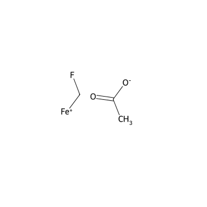 CC(=O)[O-].F[CH2][Fe+]